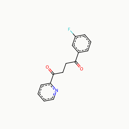 O=C(CCC(=O)c1ccccn1)c1cccc(F)c1